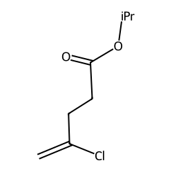 C=C(Cl)CCC(=O)OC(C)C